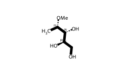 CO[C@@H](C)[C@H](O)[C@H](O)CO